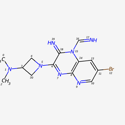 CN(C)C1CN(c2nc3ncc(Br)cc3n(C=N)c2=N)C1